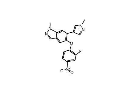 Cn1cc(-c2cc3c(cnn3C)cc2Oc2ccc([N+](=O)[O-])cc2F)cn1